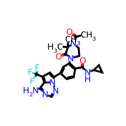 CC(=O)N1CCN(c2cc(-c3cc(C(F)(F)F)c4c(N)ncnn34)ccc2C(=O)NC2CC2)C(=O)C1(C)C